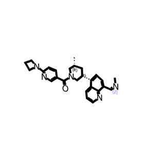 C/N=C\c1ccc([C@H]2C[C@@H](C)CN(C(=O)c3ccc(N4CCC4)nc3)C2)c2cccnc12